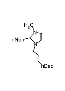 CCCCCCCCCCCCCN1C=CN(C)C1CCCCCCCCC